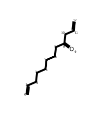 C=CCCCCCCC(=O)CC=C